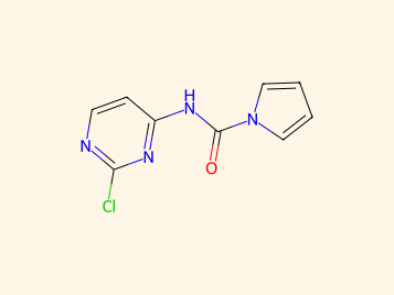 O=C(Nc1ccnc(Cl)n1)n1cccc1